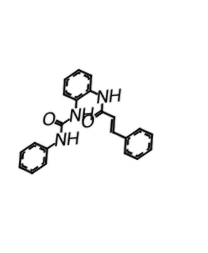 O=C(C=Cc1ccccc1)Nc1ccccc1NC(=O)Nc1ccccc1